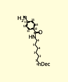 CCCCCCCCCCCCCCCCNC(=O)c1ccc(N)cc1